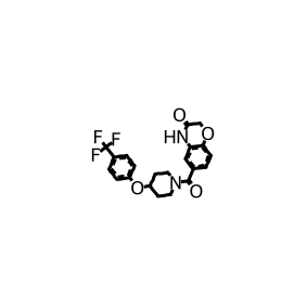 O=C1COc2ccc(C(=O)N3CCC(Oc4ccc(C(F)(F)F)cc4)CC3)cc2N1